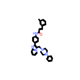 Cc1cccc(/C=C/C(=O)Nc2ccc(-c3nc4ccccn4c3CN3CCN(c4ccccc4)CC3)cc2)c1